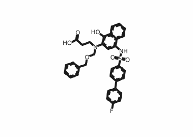 O=C(O)CCN(COCc1ccccc1)c1cc(NS(=O)(=O)c2ccc(-c3ccc(F)cc3)cc2)c2ccccc2c1O